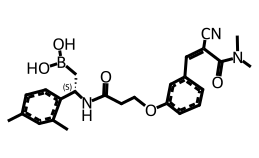 Cc1ccc([C@H](CB(O)O)NC(=O)CCOc2cccc(C=C(C#N)C(=O)N(C)C)c2)c(C)c1